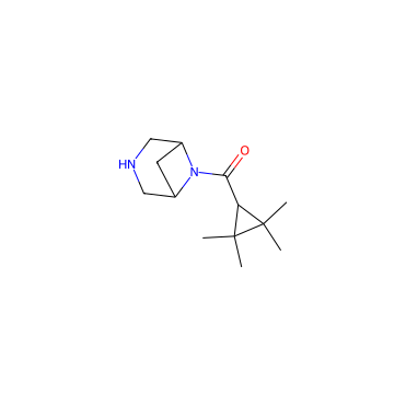 CC1(C)C(C(=O)N2C3CNCC2C3)C1(C)C